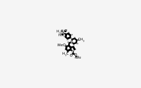 COc1cc(C)c2c(ccn2C(=O)OC(C)(C)C)c1CN1CC[C@@H](C)C[C@H]1c1ccc([S@](C)(=N)=O)cc1